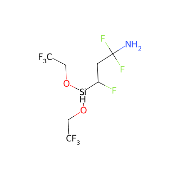 NC(F)(F)CC(F)[SiH](OCC(F)(F)F)OCC(F)(F)F